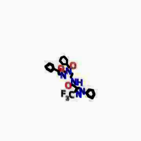 O=C(NCCN(C(=O)C1CCCCC1)c1ncc(-c2ccccc2)o1)c1cn(-c2ccccc2)nc1C(F)(F)F